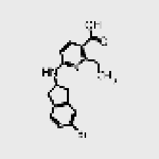 CCc1nc(NC2Cc3ccc(Br)cc3C2)ccc1C(=O)O